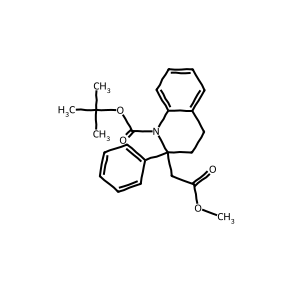 COC(=O)CC1(c2ccccc2)CCc2ccccc2N1C(=O)OC(C)(C)C